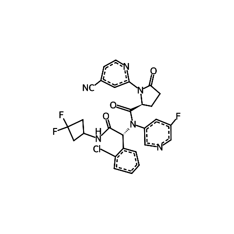 N#Cc1ccnc(N2C(=O)CC[C@H]2C(=O)N(c2cncc(F)c2)[C@@H](C(=O)NC2CC(F)(F)C2)c2ccccc2Cl)c1